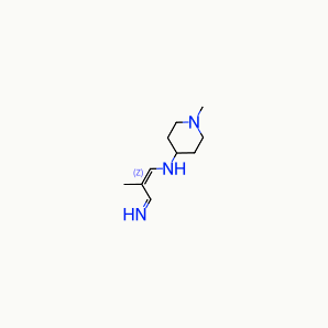 C/C(C=N)=C/NC1CCN(C)CC1